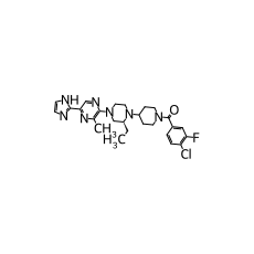 CC[C@H]1CN(c2ncc(-c3ncc[nH]3)nc2C)CCN1C1CCN(C(=O)c2ccc(Cl)c(F)c2)CC1